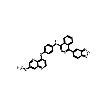 COc1cnc2c(Sc3ccc(Nc4nnc(-c5ccc6nonc6c5)c5ccccc45)cc3)ccnc2c1